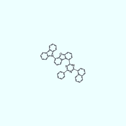 c1ccc(-c2nc(-c3cccc4ccccc34)nc(-c3cccc4oc5c(-n6c7ccccc7c7ccccc76)cccc5c34)n2)cc1